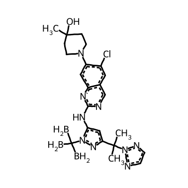 BC(B)(B)n1nc(C(C)(C)n2nccn2)cc1Nc1ncc2cc(Cl)c(N3CCC(C)(O)CC3)cc2n1